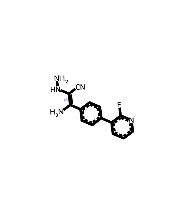 N#C/C(NN)=C(/N)c1ccc(-c2cccnc2F)cc1